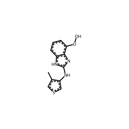 Cc1cscc1Nc1nc2c(OO)cccc2[nH]1